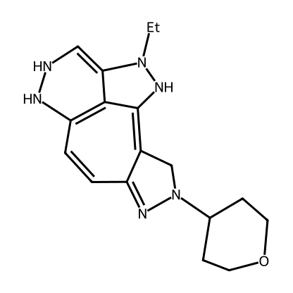 CCN1NC2=C3CN(C4CCOCC4)N=C3C=CC3=C2C1=CNN3